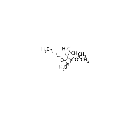 B[C@@H]1C[C@H](COC(C)C)C(OC(C)C)C1OCCCCCC